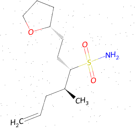 C=CC[C@H](C)[C@H](CC[C@H]1CCCO1)S(N)(=O)=O